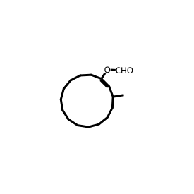 CC1C=C(OC=O)CCCCCCCCCCCC1